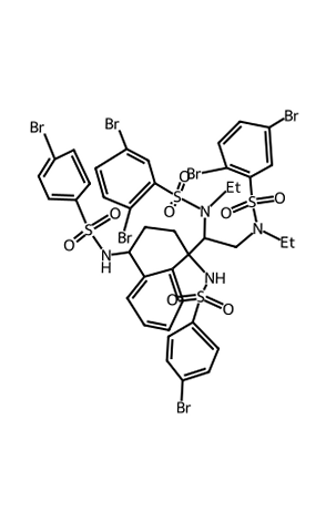 CCN(CC(N(CC)S(=O)(=O)c1cc(Br)ccc1Br)C1(NS(=O)(=O)c2ccc(Br)cc2)CCC(NS(=O)(=O)c2ccc(Br)cc2)c2ccccc21)S(=O)(=O)c1cc(Br)ccc1Br